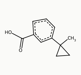 CC1(c2cccc(C(=O)O)c2)CC1